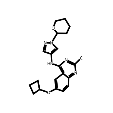 Clc1nc(Nc2cnn(C3CCCCO3)c2)c2cc(OC3CCC3)ccc2n1